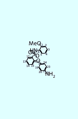 COc1ccccc1NS(=O)(=O)c1ccccc1Oc1ccc(N)cc1